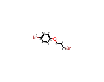 BrCCCOc1ccc(Br)cc1